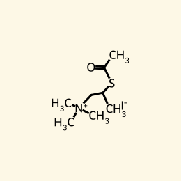 CC(=O)SC(C)C[N+](C)(C)C.[I-]